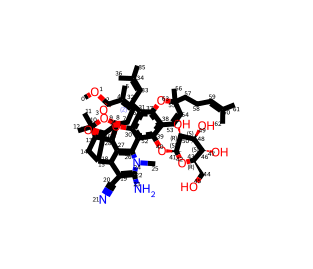 COC(=O)/C(C)=C\CC12OC(C)(C)C3CC(C1=O)C1C(C#N)=C(N)N(C)C4=C1C32Oc1c(CC=C(C)C)c2c(c(O[C@@H]3O[C@H](CO)[C@@H](O)[C@H](O)[C@H]3O)c14)C=CC(C)(CCC=C(C)C)O2